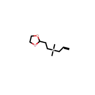 C=CC[Si](C)(C)CCC1OCCO1